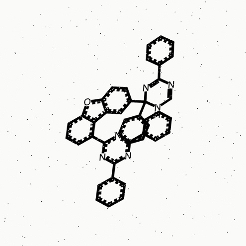 C1=NC(c2ccccc2)=NC(c2ccccc2)(c2ccc3oc4cccc(-c5nc(-c6ccccc6)nc(-c6ccccc6)n5)c4c3c2)N1